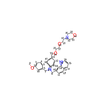 COc1cccc(CN(Cc2ccc3cccnc3c2)c2ccc(COCCOCCN3CCOCC3)cc2)c1